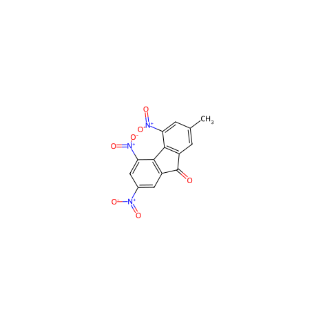 Cc1cc2c(c([N+](=O)[O-])c1)-c1c(cc([N+](=O)[O-])cc1[N+](=O)[O-])C2=O